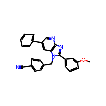 COc1cccc(-c2nc3ncc(-c4ccccc4)cc3n2Cc2ccc(C#N)cc2)c1